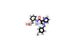 O=C(NC1CCCC[C@@H]1CO)c1cn(Cc2ccc(F)cc2)c2cccnc12